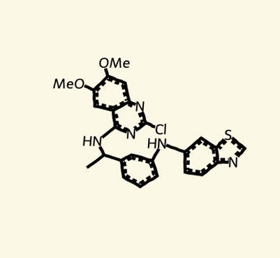 COc1cc2nc(Cl)nc(NC(C)c3cccc(Nc4ccc5ncsc5c4)c3)c2cc1OC